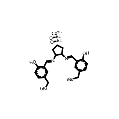 CC(=O)[O-].CC(=O)[O-].CC(C)(C)Cc1ccc(O)c(C=NC2CCCC2N=Cc2cc(CC(C)(C)C)ccc2O)c1.[Co+2]